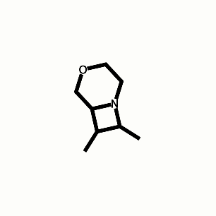 CC1C(C)N2CCOCC12